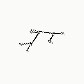 CCCCCCCCOC(CCCCCCCCCCCC=CC(OCCCCCC)OC(C=CCCCCCCCCCCCC(OCCCCCCCC)OCCCCCCCC)OCCCCCC)OCCCCCCCC